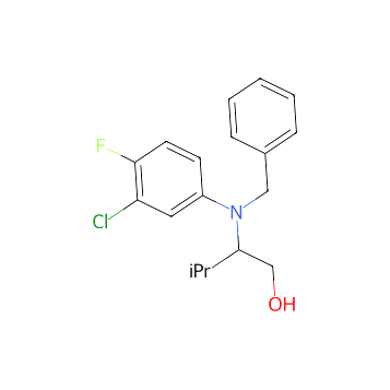 CC(C)C(CO)N(Cc1ccccc1)c1ccc(F)c(Cl)c1